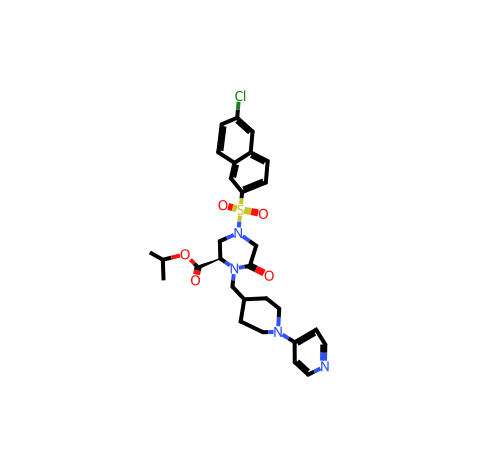 CC(C)OC(=O)[C@H]1CN(S(=O)(=O)c2ccc3cc(Cl)ccc3c2)CC(=O)N1CC1CCN(c2ccncc2)CC1